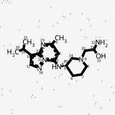 Cc1cc(N[C@@H]2CCCN(CC(N)O)C2)n2ncc(C(C)C)c2n1